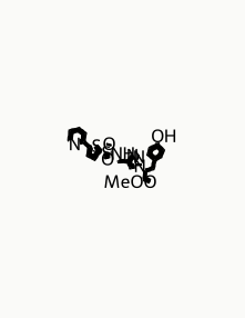 COC(=O)C(Cc1ccc(O)cc1)n1cc(CNS(=O)(=O)c2ccc(-c3ccccn3)s2)nn1